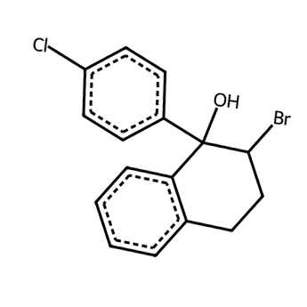 OC1(c2ccc(Cl)cc2)c2ccccc2CCC1Br